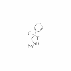 CC(C)NCC(F)(F)c1ccccc1